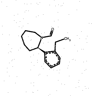 CCc1ccccc1[C@H]1CCCCCN1C=O